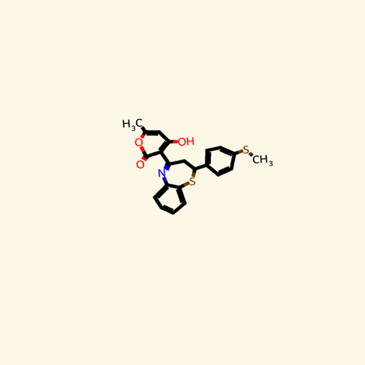 CSc1ccc(C2CC(c3c(O)cc(C)oc3=O)=Nc3ccccc3S2)cc1